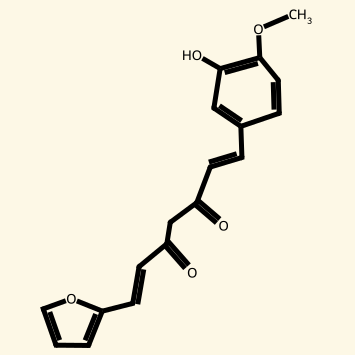 COc1ccc(C=CC(=O)CC(=O)C=Cc2ccco2)cc1O